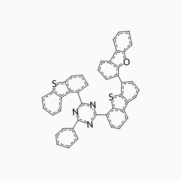 c1ccc(-c2nc(-c3cccc4c3sc3c(-c5cccc6c5oc5ccccc56)cccc34)nc(-c3cccc4sc5ccccc5c34)n2)cc1